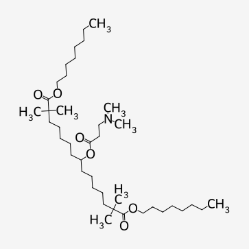 CCCCCCCCOC(=O)C(C)(C)CCCCCC(CCCCCC(C)(C)C(=O)OCCCCCCCC)OC(=O)CCN(C)C